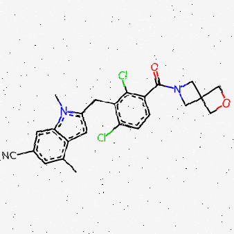 Cc1cc(C#N)cc2c1cc(Cc1c(Cl)ccc(C(=O)N3CC4(COC4)C3)c1Cl)n2C